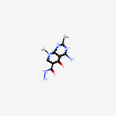 CCCn1cc(C(=O)NN)c(=O)c2c(N)nc(SC)nc21